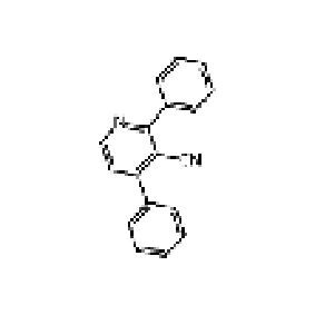 N#Cc1c(-c2ccccc2)ccnc1-c1ccccc1